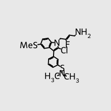 CSc1ccc2c(c1)c(-c1cccc(SN(C)C)c1)c(Cl)n2C/C(F)=C/CN